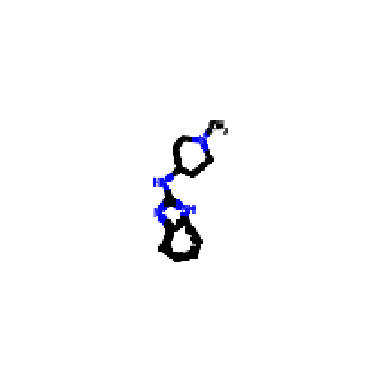 CN1CCC(Nc2nc3ccccc3[nH]2)CC1